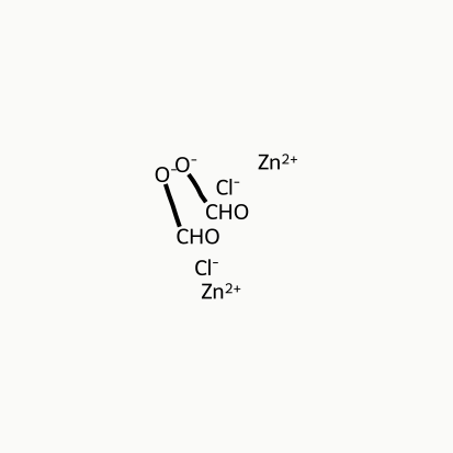 O=C[O-].O=C[O-].[Cl-].[Cl-].[Zn+2].[Zn+2]